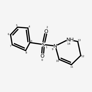 O=S(=O)(c1ccccc1)N1C=CCCN1